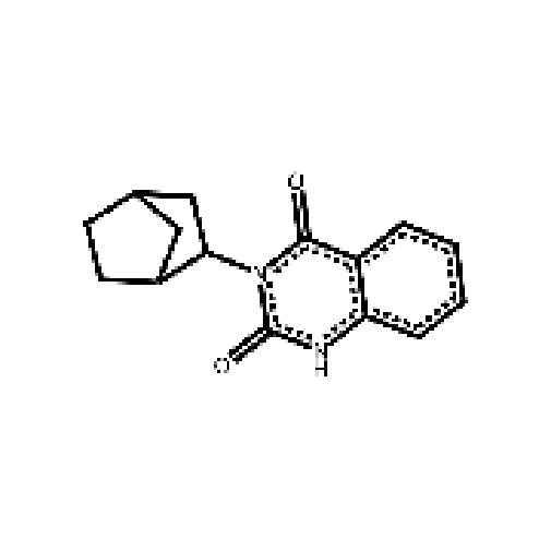 O=c1[nH]c2ccccc2c(=O)n1C1CC2CCC1C2